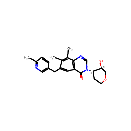 Cc1ccc(Cc2cc3c(=O)n([C@H]4CCOC[C@@H]4O)cnc3c(C)c2C)cn1